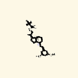 CC(COC(=O)C(C)(C)C)=C1CCC2/C(=C/C=C3C[C@@H](O)C[C@H](O)C3)CCC[C@]12C